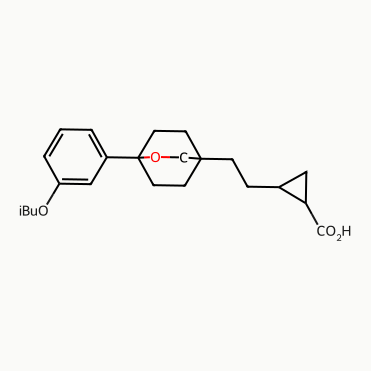 CC(C)COc1cccc(C23CCC(CCC4CC4C(=O)O)(CC2)CO3)c1